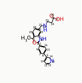 CC(OC(=N)c1ccc(-c2cccnc2)cc1)c1ccc(CNCCC(=O)O)cc1